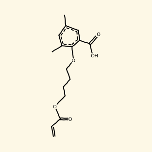 C=CC(=O)OCCCCOc1c(C)cc(C)cc1C(=O)O